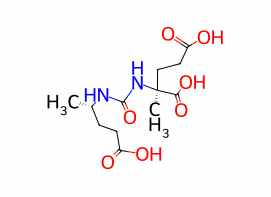 C[C@@H](CCC(=O)O)NC(=O)N[C@@](C)(CCC(=O)O)C(=O)O